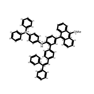 COc1c2ccccc2c(-c2ccc(Nc3ccc(N(c4ccccc4)c4ccccc4)cc3)c(-c3ccc(C=C(c4ccccc4)c4ccccc4)cc3)c2)c2ccccc12